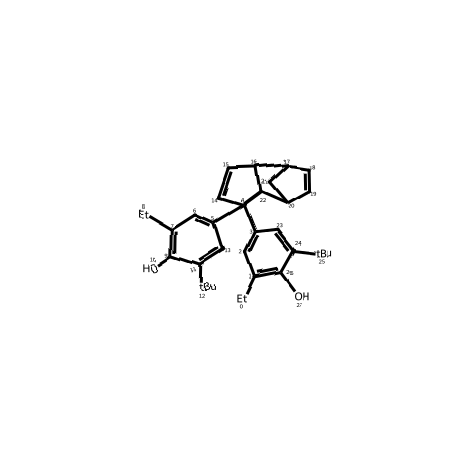 CCc1cc(C2(c3cc(CC)c(O)c(C(C)(C)C)c3)C=CC3C4C=CC(C4)C32)cc(C(C)(C)C)c1O